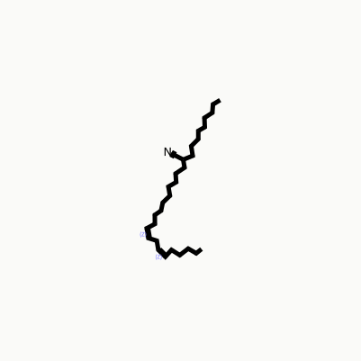 CCCCC/C=C\C/C=C\CCCCCCCCCC(C#N)CCCCCCCCC